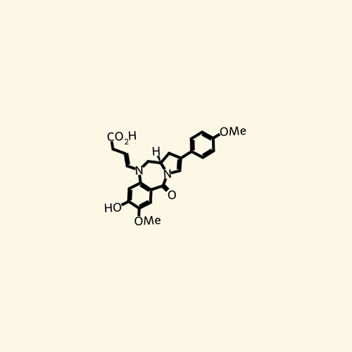 COc1ccc(C2=CN3C(=O)c4cc(OC)c(O)cc4N(C=CCC(=O)O)C[C@@H]3C2)cc1